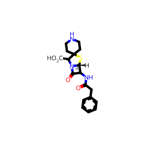 O=C(Cc1ccccc1)NC1C(=O)N2C(C(=O)O)C3(CCNCC3)S[C@H]12